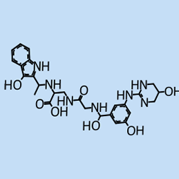 CC(NC(CNC(=O)CNC(O)c1cc(O)cc(NC2=NCC(O)CN2)c1)C(=O)O)c1[nH]c2ccccc2c1O